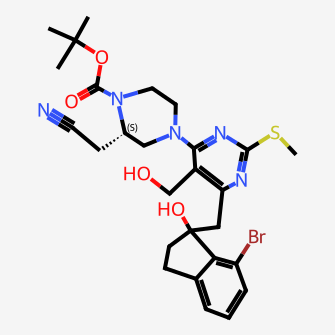 CSc1nc(CC2(O)CCc3cccc(Br)c32)c(CO)c(N2CCN(C(=O)OC(C)(C)C)[C@@H](CC#N)C2)n1